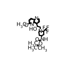 COc1ccc2nccc([C@H](O)CN3CCC(NC(=O)OC(C)(C)C)CC3C(F)(F)F)c2n1